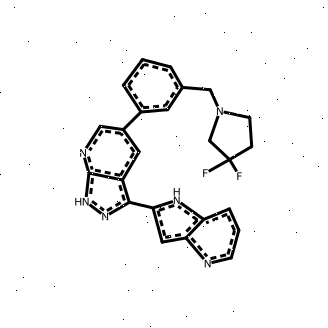 FC1(F)CCN(Cc2cccc(-c3cnc4[nH]nc(-c5cc6ncccc6[nH]5)c4c3)c2)C1